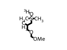 [3H]O[Si](C)(C)CC(C)COCOC